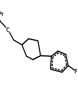 CC(C)CCCC1CCC(c2ccc(F)cc2)CC1